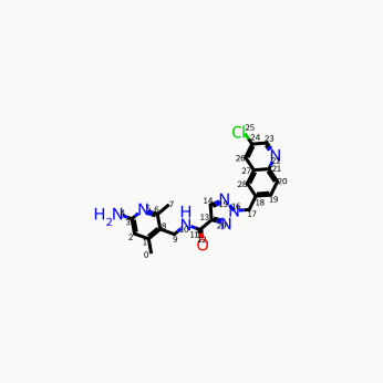 Cc1cc(N)nc(C)c1CNC(=O)c1cnn(Cc2ccc3ncc(Cl)cc3c2)n1